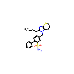 CCCCc1nc2c(n1Cc1ccc(-c3ccccc3)c(S(N)(=O)=O)c1)[C]CCS2